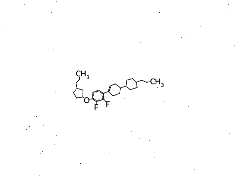 CCCC1CCC(C2CC=C(c3ccc(OC4CCC(CCC)C4)c(F)c3F)CC2)CC1